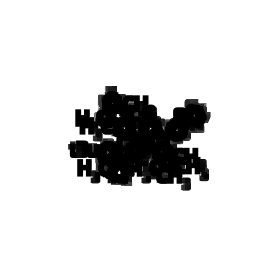 Cc1cc2c3c(c1)N(c1cc4c(cc1C)C(C)(C)c1ccccc1C4(C)C)c1cc(N4c5ccc(C(C)(C)C)cc5C5(C)CCCCC45C)ccc1B3c1cc3c(cc1N2c1ccc2c(c1)sc1ccccc12)C(C)(C)CC3(C)C